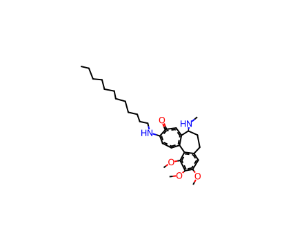 CCCCCCCCCCCCNc1ccc2c(cc1=O)[C@@H](NC)CCc1cc(OC)c(OC)c(OC)c1-2